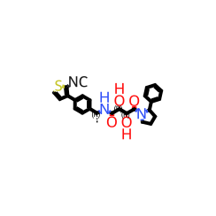 [C-]#[N+]c1sccc1-c1ccc([C@@H](C)NC(=O)[C@H](O)[C@@H](O)C(=O)N2CCCC2c2ccccc2)cc1